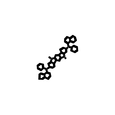 Cn1c2cc(N(c3ccccc3)c3cccc4ccccc34)ccc2c2cc3c(cc21)c1ccc(N(c2ccccc2)c2cccc4ccccc24)cc1n3C